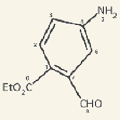 CCOC(=O)c1ccc(N)cc1C=O